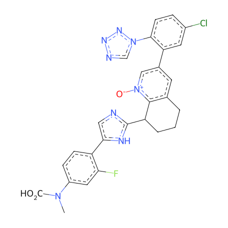 CN(C(=O)O)c1ccc(-c2cnc(C3CCCc4cc(-c5cc(Cl)ccc5-n5cnnn5)c[n+]([O-])c43)[nH]2)c(F)c1